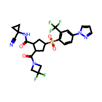 N#CC1(NC(=O)C2CC(S(=O)(=O)c3ccc(-n4cccn4)cc3C(F)(F)F)CC2C(=O)N2CC(F)(F)C2)CC1